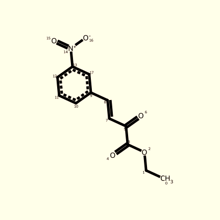 CCOC(=O)C(=O)/C=C/c1cccc([N+](=O)[O-])c1